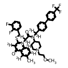 [2H]c1c(C)c([2H])c2c(=O)c([2H])c(SCc3cccc(F)c3F)n(C([2H])([2H])C(=O)N(C3CCN(CCOC)CC3)C([2H])([2H])c3ccc(-c4ccc(C(F)(F)F)cc4)cc3)c2c1[2H]